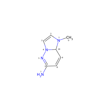 CN1C=CN2N=C(N)C=CC12